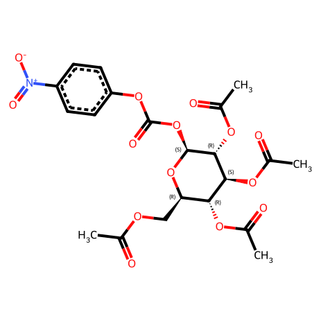 CC(=O)OC[C@H]1O[C@@H](OC(=O)Oc2ccc([N+](=O)[O-])cc2)[C@H](OC(C)=O)[C@@H](OC(C)=O)[C@@H]1OC(C)=O